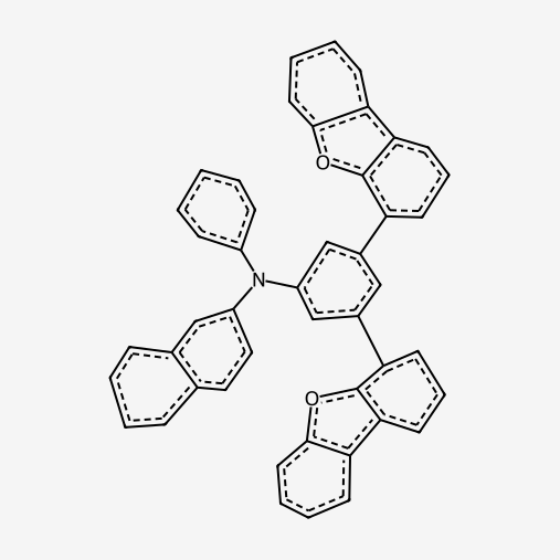 c1ccc(N(c2cc(-c3cccc4c3oc3ccccc34)cc(-c3cccc4c3oc3ccccc34)c2)c2ccc3ccccc3c2)cc1